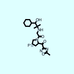 Cc1nc(C(=O)C2C[C@H](F)CN2C(=O)CNC(C)(C)C(O)C2CCCCC2)no1